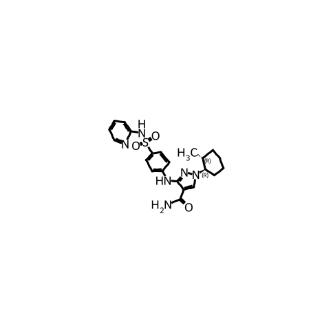 C[C@@H]1CCCC[C@H]1n1cc(C(N)=O)c(Nc2ccc(S(=O)(=O)Nc3ccccn3)cc2)n1